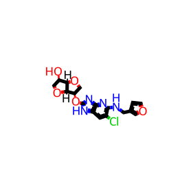 O[C@@H]1CO[C@H]2[C@@H]1OC[C@H]2Oc1nc2nc(NCc3ccoc3)c(Cl)cc2[nH]1